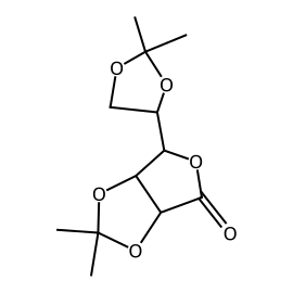 CC1(C)OCC(C2OC(=O)C3OC(C)(C)OC32)O1